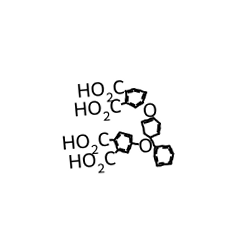 O=C(O)c1ccc(OC2=CCC(Oc3ccc(C(=O)O)c(C(=O)O)c3)(c3ccccc3)C=C2)cc1C(=O)O